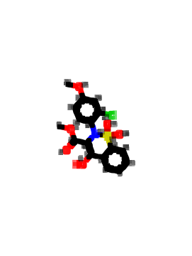 COC(=O)C1=C(O)c2ccccc2S(=O)(=O)N1c1ccc(OC)cc1Cl